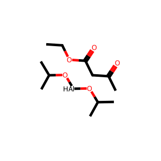 CC(C)[O][AlH][O]C(C)C.CCOC(=O)CC(C)=O